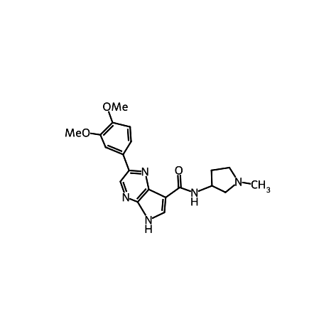 COc1ccc(-c2cnc3[nH]cc(C(=O)NC4CCN(C)C4)c3n2)cc1OC